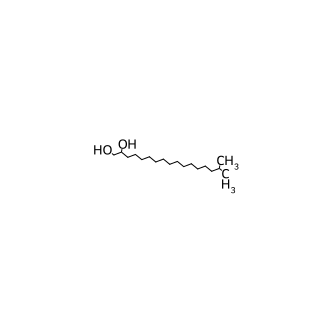 CC(C)CCCCCCCCCCCCCC(O)CO